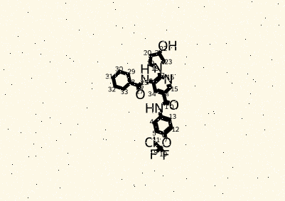 O=C(Nc1ccc(OC(F)(F)Cl)cc1)c1cnc(N2CCC(O)C2)c(NC(=O)C2CCCCC2)c1